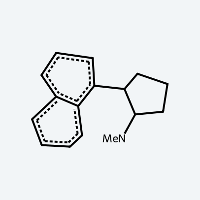 CNC1CCCC1c1cccc2ccccc12